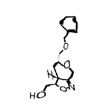 OC[C@@H]1ON=C2CO[C@@H](COCc3ccccc3)C[C@H]21